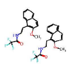 COc1ccc2ccccc2c1CCNC(=O)C(F)(F)F.COc1ccc2ccccc2c1CCNC(=O)C(F)(F)F